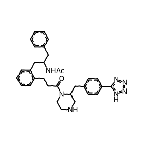 CC(=O)NC(Cc1ccccc1)Cc1ccccc1CCC(=O)N1CCNCC1Cc1ccc(-c2nnn[nH]2)cc1